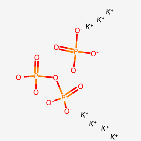 O=P([O-])([O-])OP(=O)([O-])[O-].O=P([O-])([O-])[O-].[K+].[K+].[K+].[K+].[K+].[K+].[K+]